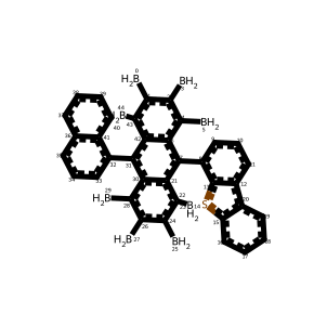 Bc1c(B)c(B)c2c(-c3cccc4c3sc3ccccc34)c3c(B)c(B)c(B)c(B)c3c(-c3cccc4ccccc34)c2c1B